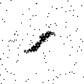 CCCc1ccc(C2CCC(/C=C/c3ccc(C4CCC(CC)CC4)c(F)c3F)CC2)c(F)c1